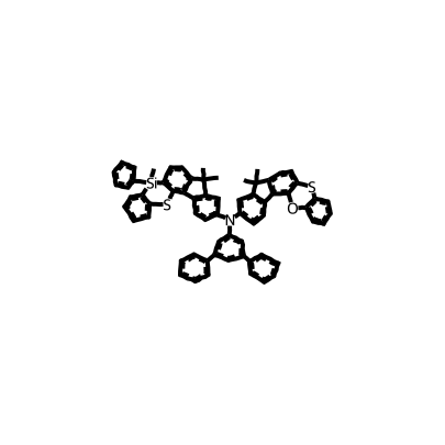 CC1(C)c2cc(N(c3cc(-c4ccccc4)cc(-c4ccccc4)c3)c3ccc4c(c3)C(C)(C)c3ccc5c(c3-4)Sc3ccccc3[Si]5(C)c3ccccc3)ccc2-c2c1ccc1c2Oc2ccccc2S1